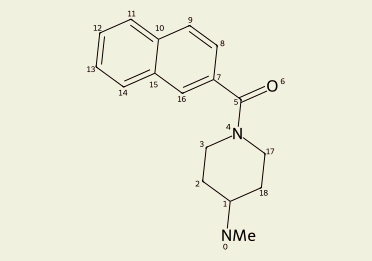 CNC1CCN(C(=O)c2ccc3ccccc3c2)CC1